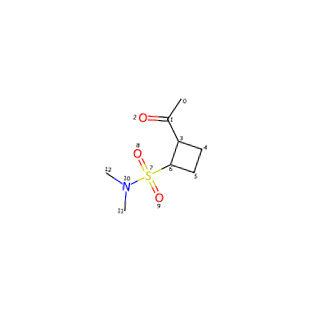 CC(=O)C1CCC1S(=O)(=O)N(C)C